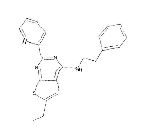 CCc1cc2c(NCCc3ccccc3)nc(-c3ccccn3)nc2s1